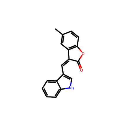 Cc1ccc2c(c1)/C(=C/c1c[nH]c3ccccc13)C(=O)O2